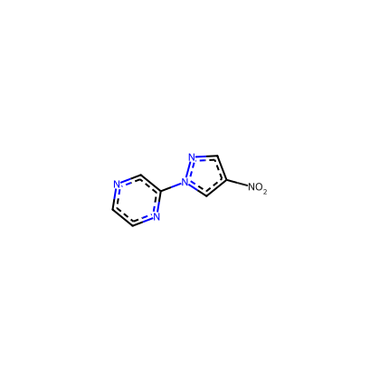 O=[N+]([O-])c1cnn(-c2cnccn2)c1